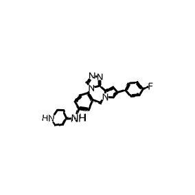 Fc1ccc(-c2cc3n(c2)Cc2cc(NC4CCNCC4)ccc2-n2cnnc2-3)cc1